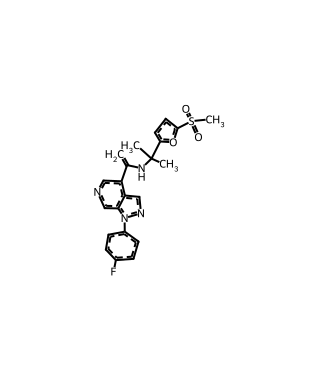 C=C(NC(C)(C)c1ccc(S(C)(=O)=O)o1)c1cncc2c1cnn2-c1ccc(F)cc1